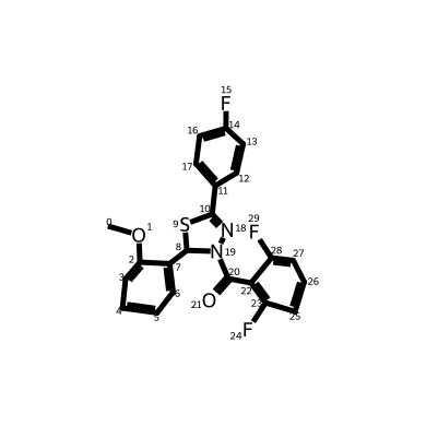 COc1ccccc1C1SC(c2ccc(F)cc2)=NN1C(=O)c1c(F)cccc1F